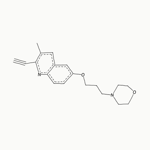 C#Cc1nc2ccc(OCCCN3CCOCC3)cc2cc1C